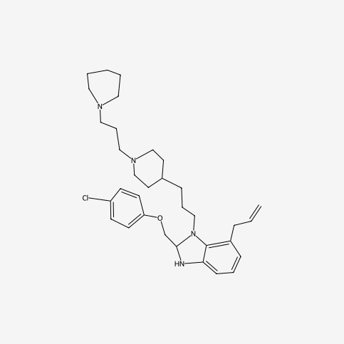 C=CCc1cccc2c1N(CCCC1CCN(CCCN3CCCCC3)CC1)C(COc1ccc(Cl)cc1)N2